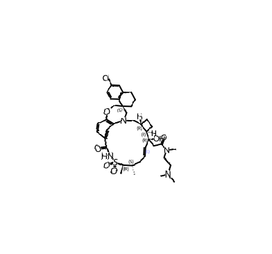 C[C@@H]1[C@@H](C)C/C=C/[C@@](O)(CC(=O)N(C)CCN(C)C)[C@@H]2CC[C@H]2CN2C[C@@]3(CCCc4cc(Cl)ccc43)COc3ccc(cc32)C(=O)NS1(=O)=O